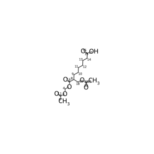 CC(=O)OCOC(=O)C(CCCCCCC(=O)O)COC(C)=O